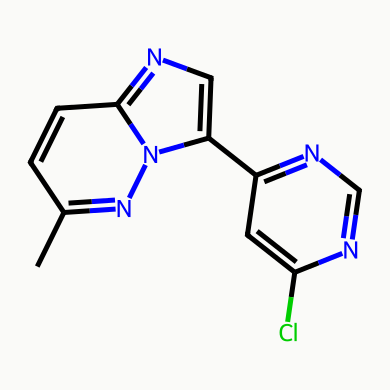 Cc1ccc2ncc(-c3cc(Cl)ncn3)n2n1